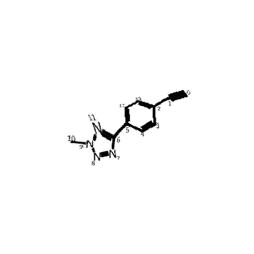 C#Cc1ccc(-c2nnn(C)n2)cc1